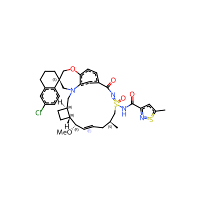 CO[C@H]1/C=C/C[C@H](C)CS(=O)(NC(=O)c2cc(C)sn2)=NC(=O)c2ccc3c(c2)N(C[C@@H]2CC[C@H]21)C[C@@]1(CCCc2cc(Cl)ccc21)CO3